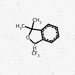 CC1(C)O[IH](C(F)(F)F)c2ccccc21